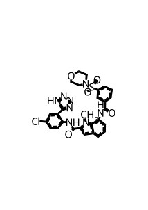 Cn1c(C(=O)Nc2ccc(Cl)cc2-c2nnn[nH]2)cc2cccc(NC(=O)c3cccc(S(=O)(=O)N4CCOCC4)c3)c21